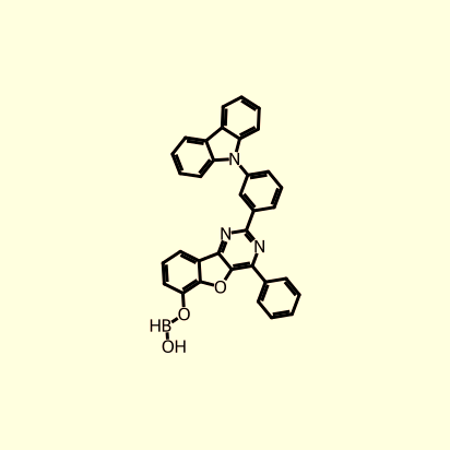 OBOc1cccc2c1oc1c(-c3ccccc3)nc(-c3cccc(-n4c5ccccc5c5ccccc54)c3)nc12